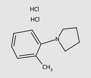 Cc1ccccc1N1CCCC1.Cl.Cl